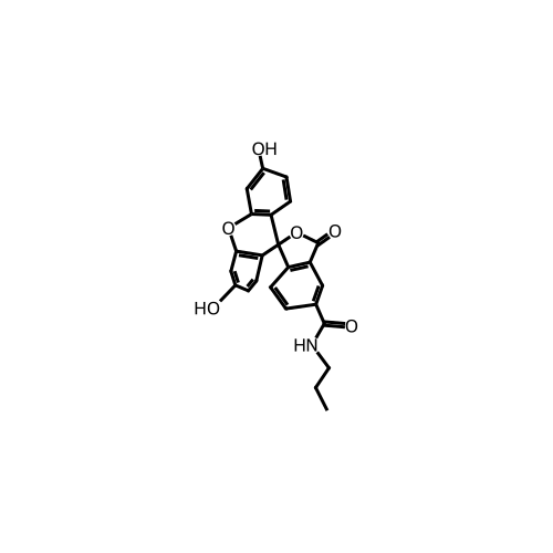 CCCNC(=O)c1ccc2c(c1)C(=O)OC21c2ccc(O)cc2Oc2cc(O)ccc21